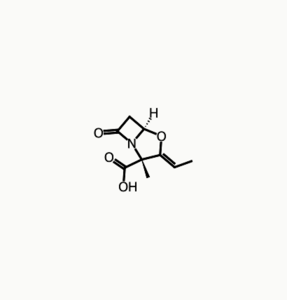 C/C=C1\O[C@@H]2CC(=O)N2[C@@]1(C)C(=O)O